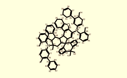 Cc1ccc(N(c2ccccc2C)C2(C)CC3C(C4c5c(oc6c5C=CCC6)C(N(C5=CCC(C)C(C6=CC=CCC6)=C5)c5ccccc5C)=CC4C34c3ccccc3C(C)(C)c3ccccc34)C3c4ccccc4CC32)cc1-c1ccccc1